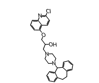 OC(COc1cccc2nc(Cl)ccc12)CN1CCN(C2c3ccccc3CCc3ccccc32)CC1